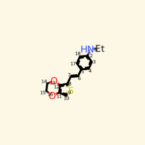 CCNc1ccc(/C=C/c2scc3c2OCCO3)cc1